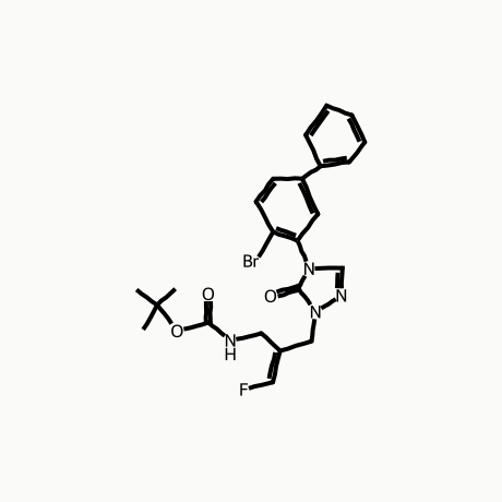 CC(C)(C)OC(=O)NC/C(=C\F)Cn1ncn(-c2cc(-c3ccccc3)ccc2Br)c1=O